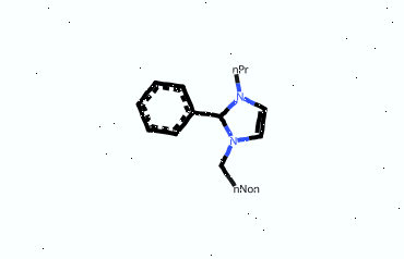 CCCCCCCCCCN1C=CN(CCC)C1c1ccccc1